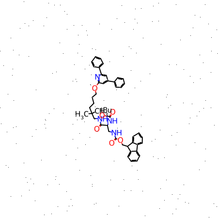 CC(C)(CCCCOc1cc(-c2ccccc2)cc(-c2ccccc2)n1)CNC(=O)C(CNC(=O)OCC1c2ccccc2-c2ccccc21)NC(=O)OC(C)(C)C